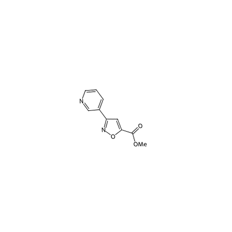 COC(=O)c1cc(-c2cccnc2)no1